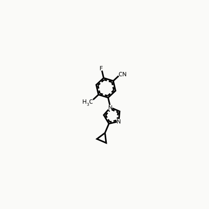 Cc1cc(F)c(C#N)cc1-n1cnc(C2CC2)c1